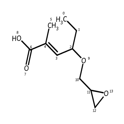 CCC(C=C(C)C(=O)O)OCC1CO1